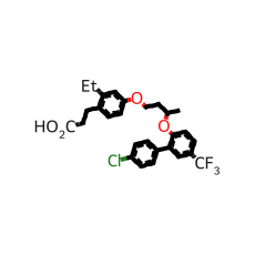 CCc1cc(OCCC(C)Oc2ccc(C(F)(F)F)cc2-c2ccc(Cl)cc2)ccc1CCC(=O)O